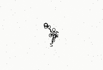 CCn1c(=O)n(CCCOC2CCCCO2)c(=O)c2c1ncn2COCCS(C)(C)C